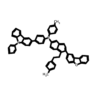 Cc1ccc(CCc2c(-c3ccc4oc5ccccc5c4c3)ccc3cc(N(c4ccc(C)cc4)c4ccc(-c5ccc6c(c5)c5ccccc5n6-c5ccccc5)cc4)ccc23)cc1